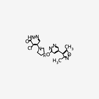 Cc1noc(C)c1-c1cnnc(O[C@@H]2CCN(c3cn[nH]c(=O)c3Cl)C2)c1